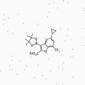 CCOC(=O)c1oc2c(C(F)(F)F)cc(C3CC3)cc2c1B1OC(C)(C)C(C)(C)O1